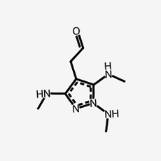 CNc1nn(NC)c(NC)c1CC=O